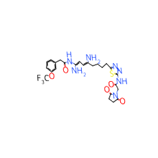 N/C(=C\C=C(/N)NC(=O)Cc1cccc(OC(F)(F)F)c1)CCCCc1nnc(NC(=O)CN2C(=O)CCC2=O)s1